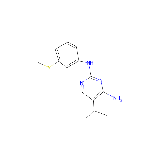 CSc1cccc(Nc2ncc(C(C)C)c(N)n2)c1